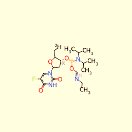 [2H]CC1OC(n2cc(F)c(=O)[nH]c2=O)C[C@H]1OP(O/C=N/CC)N(C(C)C)C(C)C